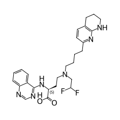 O=C(O)[C@H](CCN(CCCCc1ccc2c(n1)NCCC2)CC(F)F)Nc1ncnc2ccccc12